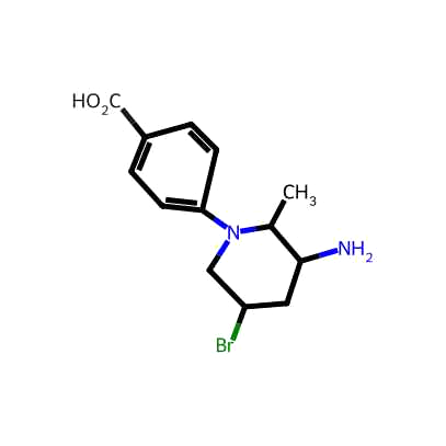 CC1C(N)CC(Br)CN1c1ccc(C(=O)O)cc1